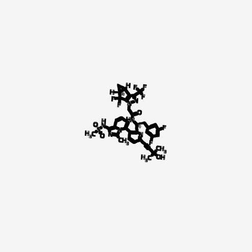 Cc1nc(NS(C)(=O)=O)c2cccc(-c3ccc(C#CC(C)(C)O)nc3[C@H](Cc3cc(F)cc(F)c3)NC(=O)Cn3nc(C(F)(F)F)c4c3C(F)(F)[C@@H]3C[C@H]43)n12